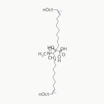 CCCCCCCC/C=C\CCCCCCCCC(C(O)(CCCCCCCC/C=C\CCCCCCCC)P(=O)(O)O)[N+](C)(C)C